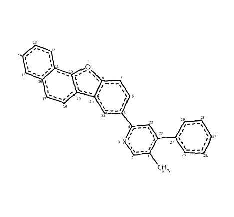 Cc1cnc(-c2ccc3oc4c5ccccc5ccc4c3c2)cc1-c1ccccc1